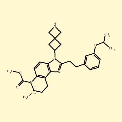 COC(=O)N1c2ccc3c(nc(CCc4cccc(OC(C)C)c4)n3C3CC4(CNC4)C3)c2CC[C@@H]1C